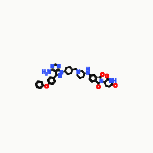 Nc1ncnc2c1c(-c1ccc(Oc3ccccc3)cc1)nn2C1CCC(CN2CCCC(Nc3ccc4c(c3)C(=O)N(C3CCC(=O)NC3=O)C4=O)C2)CC1